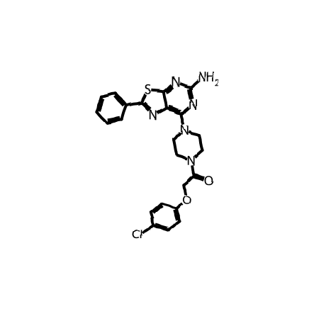 Nc1nc(N2CCN(C(=O)COc3ccc(Cl)cc3)CC2)c2nc(-c3ccccc3)sc2n1